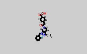 Cc1nn(Cc2ccccc2F)c2c1CCN(C(=O)CC1CCC(C(=O)O)CC1)C2